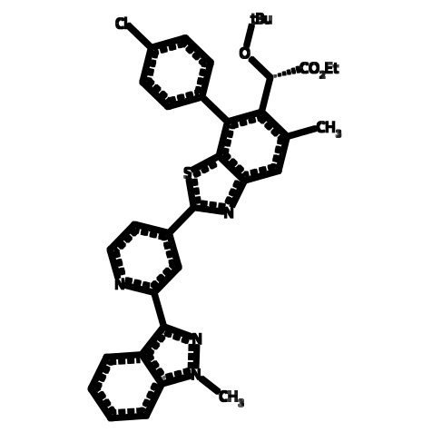 CCOC(=O)[C@@H](OC(C)(C)C)c1c(C)cc2nc(-c3ccnc(-c4nn(C)c5ccccc45)c3)sc2c1-c1ccc(Cl)cc1